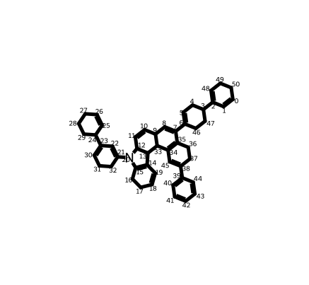 C1=CC(C2CC=C(C3=CC4C=CC5C(C6=C(CCC=C6)N5C5=CC(C6C=CCCC6)=CCC5)C4C4=C3CCC(c3ccccc3)=C4)CC2)=CCC1